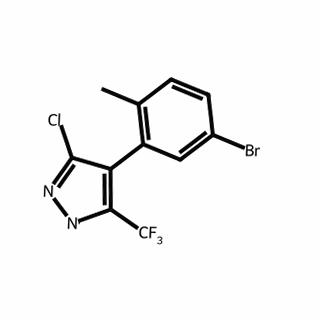 Cc1ccc(Br)cc1C1=C(C(F)(F)F)[N]N=C1Cl